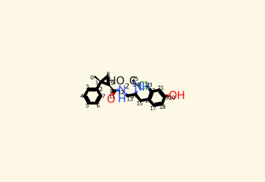 C[C@@]1(c2ccccc2)C[C@H]1C(=O)NCC(Cc1ccc(O)cc1Cl)NC(=O)O